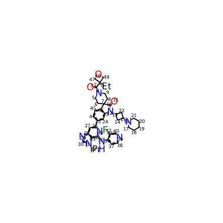 CCC1(C(=O)N2CCC3(CC2)C(=O)N([C@H]2C[C@@H](N4CCCCC4)C2)c2cc(-c4cc5ncn(C(C)C)c5c(Nc5ccncc5F)n4)ccc23)COC1